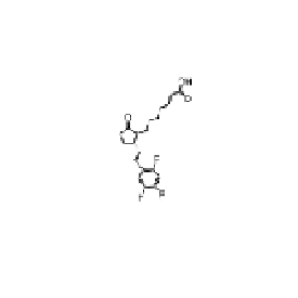 O=C(O)CCCCCC[C@@H]1C(=O)CC[C@H]1C=Cc1cc(F)c(F)cc1F